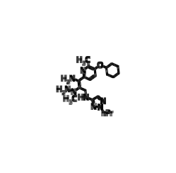 CCCn1ncc(NC/C(=C(/N)c2ccc(OC3CCCCC3)c(C)n2)N(C)N)n1